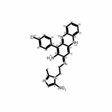 Cc1ncc([N+](=O)[O-])n1CCN=c1cc2[nH]c3ccccc3nc-2c(-c2ccc(Cl)cc2)c1N